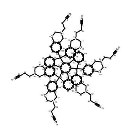 N#CCCN1COc2ccc(C3(c4ccc5c(c4)CN(CCC#N)CO5)c4ccccc4-c4c3c3c(c5c4C(c4ccc6c(c4)CN(CCC#N)CO6)(c4ccc6c(c4)CN(CCC#N)CO6)c4ccccc4-5)C(c4ccc5c(c4)CN(CCC#N)CO5)(c4ccc5c(c4)CN(CCC#N)CO5)c4ccccc4-3)cc2C1